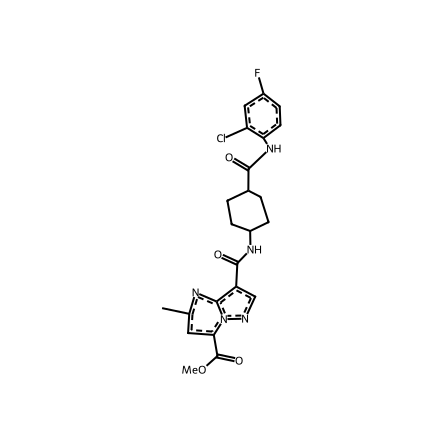 COC(=O)c1cc(C)nc2c(C(=O)NC3CCC(C(=O)Nc4ccc(F)cc4Cl)CC3)cnn12